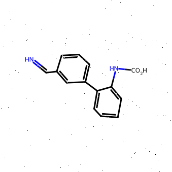 N=Cc1cccc(-c2ccccc2NC(=O)O)c1